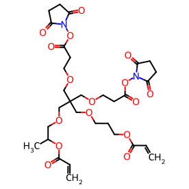 C=CC(=O)OCCCOCC(COCCC(=O)ON1C(=O)CCC1=O)(COCCC(=O)ON1C(=O)CCC1=O)COCC(C)OC(=O)C=C